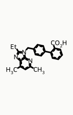 CCc1nc2c(C)cc(C)nc2n1Cc1ccc(-c2ccccc2C(=O)O)cc1